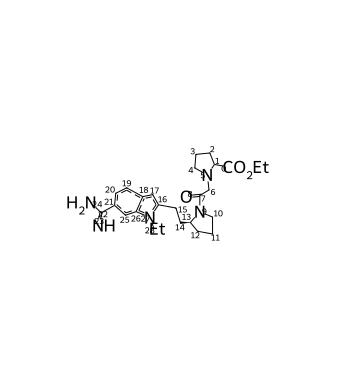 CCOC(=O)C1CCCN1CC(=O)N1CCC[C@H]1CCc1cc2ccc(C(=N)N)cc2n1CC